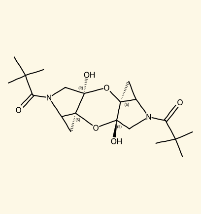 CC(C)(C)C(=O)N1C[C@@]2(O)O[C@@]34CC3N(C(=O)C(C)(C)C)C[C@]4(O)O[C@]23CC13